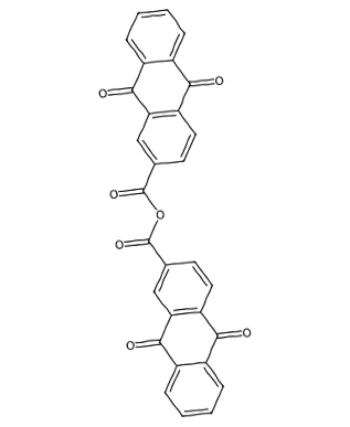 O=C(OC(=O)c1ccc2c(c1)C(=O)c1ccccc1C2=O)c1ccc2c(c1)C(=O)c1ccccc1C2=O